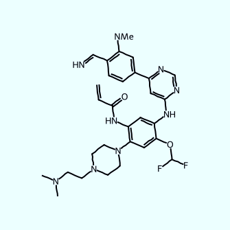 C=CC(=O)Nc1cc(Nc2cc(-c3ccc(C=N)c(NC)c3)ncn2)c(OC(F)F)cc1N1CCN(CCN(C)C)CC1